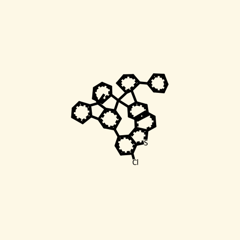 CC1(C)c2ccccc2-c2cc(-c3ccc(Cl)c4sc5ccccc5c34)cc(C3(c4ccccc4)c4ccccc4-c4c(-c5ccccc5)cccc43)c21